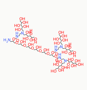 NCC(COCC(O)COCC(O)COCC(O)COCC(O)COCC(COC(=O)NCCN(C[C@H](O)[C@@H](O)[C@H](O)[C@H](O)CO)C[C@H](O)[C@@H](O)[C@H](O)[C@H](O)CO)OC(=O)NCCN(C[C@H](O)[C@@H](O)[C@H](O)[C@H](O)CO)C[C@H](O)[C@@H](O)[C@H](O)[C@H](O)CO)OC(=O)NCCN(C[C@H](O)[C@@H](O)[C@H](O)[C@H](O)CO)C[C@H](O)[C@@H](O)[C@H](O)[C@H](O)CO